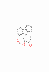 CC(=O)OC1CC(c2ccccc2)(c2ccccc2)C=CC1=O